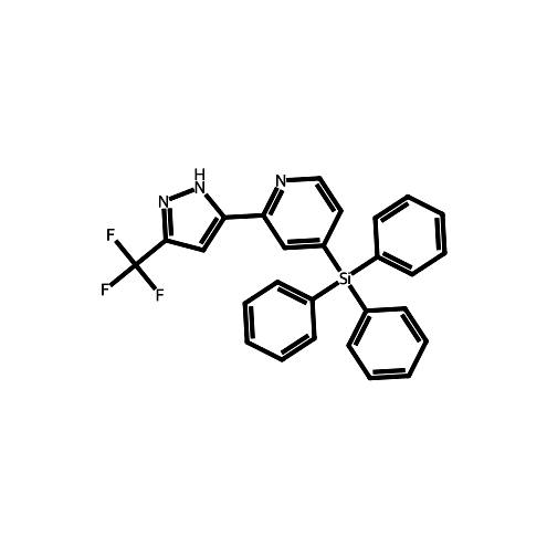 FC(F)(F)c1cc(-c2cc([Si](c3ccccc3)(c3ccccc3)c3ccccc3)ccn2)[nH]n1